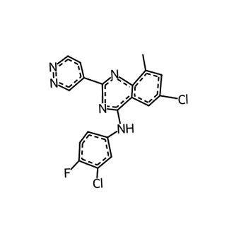 Cc1cc(Cl)cc2c(Nc3ccc(F)c(Cl)c3)nc(-c3ccnnc3)nc12